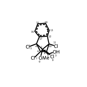 COC1(CO)C2(Cl)C(Cl)=C(Cl)C1(Cl)c1ccccc12